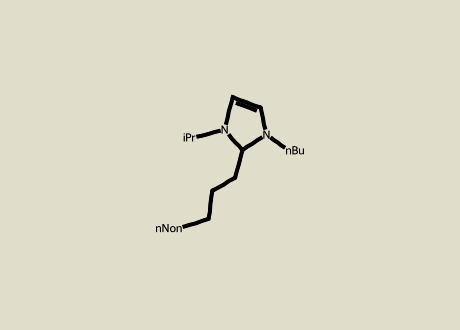 CCCCCCCCCCCCC1N(CCCC)C=CN1C(C)C